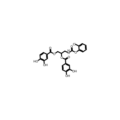 O=C(NCC(COC(=O)c1ccc(O)c(O)c1)OC(=O)c1ccc(O)c(O)c1)Oc1ccccc1Cl